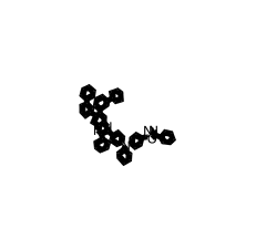 c1ccc(-c2cccc(-c3cc4nc(-c5ccccc5)c(-c5ccc(N(c6ccccc6)c6ccc(-c7nnc(-c8ccccc8)o7)cc6)cc5)nc4cc3-c3cccc(-c4ccccc4)c3)c2)cc1